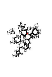 Cl.FC(F)(F)c1nc(N2CCNCC2CN2CCc3c([nH]c4ccc(Cl)cc34)C2C[n+]2ccn(CC3CNC3)c2)ccc1Cl.[Cl-]